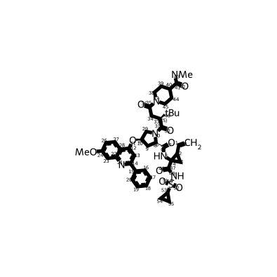 C=CC1CC1(NC(=O)[C@@H]1C[C@@H](Oc2cc(-c3ccccc3)nc3cc(OC)ccc23)CN1C(=O)[C@@H](CC(=O)N1CCC(C(=O)NC)CC1)C(C)(C)C)C(=O)NS(=O)(=O)C1CC1